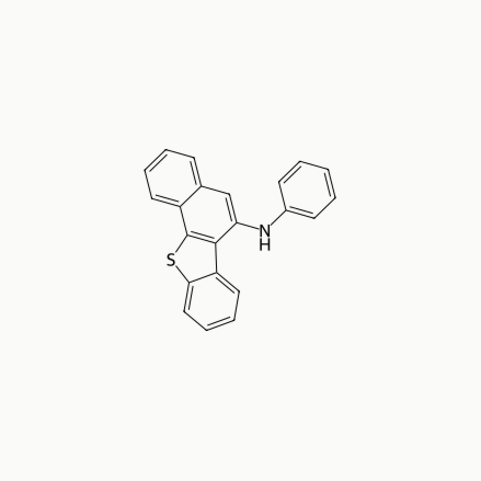 c1ccc(Nc2cc3ccccc3c3sc4ccccc4c23)cc1